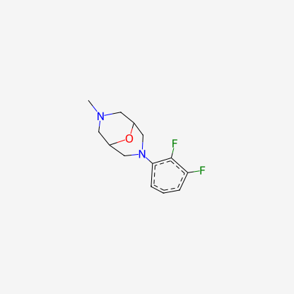 CN1CC2CN(c3cccc(F)c3F)CC(C1)O2